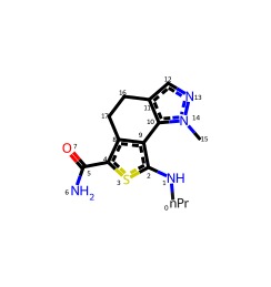 CCCNc1sc(C(N)=O)c2c1-c1c(cnn1C)CC2